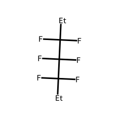 CCC(F)(F)C(F)(F)C(F)(F)CC